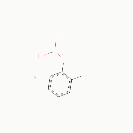 O=C(O)c1ccccc1OB(O)O.[KH]